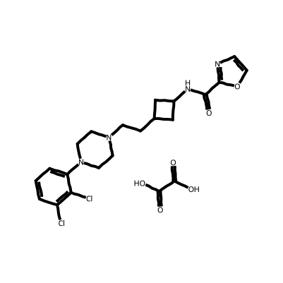 O=C(NC1CC(CCN2CCN(c3cccc(Cl)c3Cl)CC2)C1)c1ncco1.O=C(O)C(=O)O